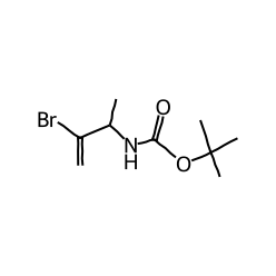 C=C(Br)C(C)NC(=O)OC(C)(C)C